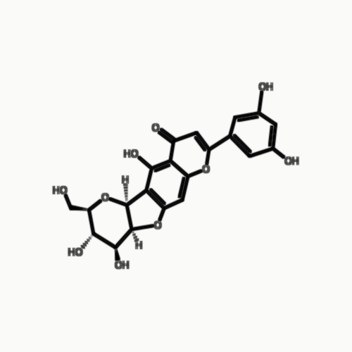 O=c1cc(-c2cc(O)cc(O)c2)oc2cc3c(c(O)c12)[C@@H]1O[C@H](CO)[C@@H](O)[C@H](O)[C@@H]1O3